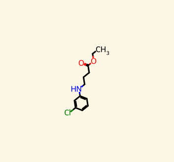 CCOC(=O)CCCNc1cccc(Cl)c1